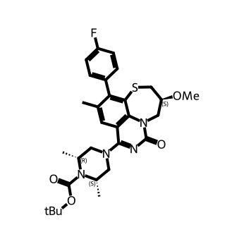 CO[C@@H]1CSc2c(-c3ccc(F)cc3)c(C)cc3c(N4C[C@@H](C)N(C(=O)OC(C)(C)C)[C@@H](C)C4)nc(=O)n(c23)C1